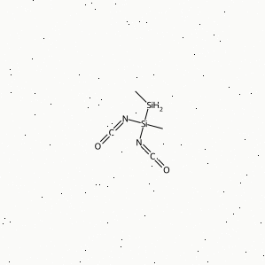 C[SiH2][Si](C)(N=C=O)N=C=O